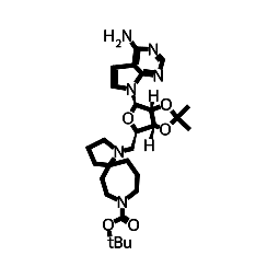 CC(C)(C)OC(=O)N1CCCC2(CCCN2C[C@H]2O[C@@H](n3ccc4c(N)ncnc43)[C@@H]3OC(C)(C)O[C@@H]32)CC1